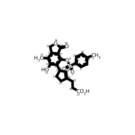 Cc1ccc(S(=O)(=O)Oc2c3c(c(C)c(O)c2C2C=C(CCC(=O)O)CC2)COC3=O)cc1